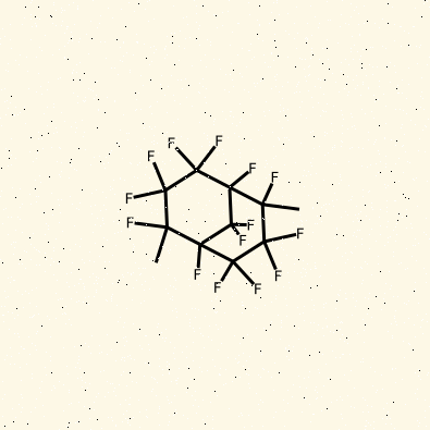 CC1(F)C(F)(F)C(F)(F)C2(F)C(C)(F)C(F)(F)C(F)(F)C1(F)C2(F)F